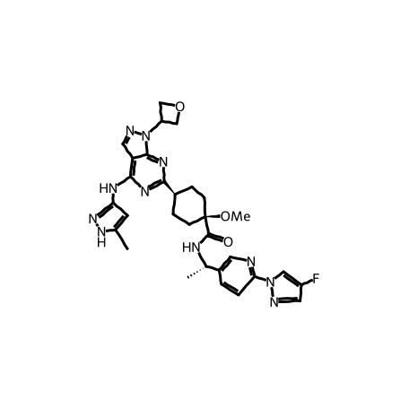 CO[C@]1(C(=O)N[C@@H](C)c2ccc(-n3cc(F)cn3)nc2)CC[C@H](c2nc(Nc3cc(C)[nH]n3)c3cnn(C4COC4)c3n2)CC1